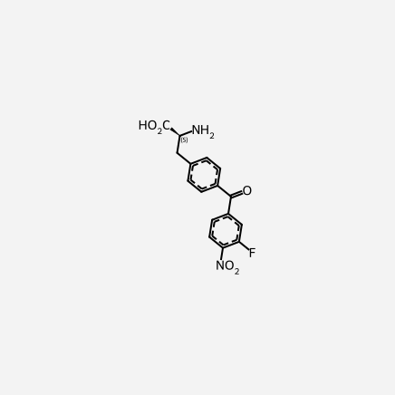 N[C@@H](Cc1ccc(C(=O)c2ccc([N+](=O)[O-])c(F)c2)cc1)C(=O)O